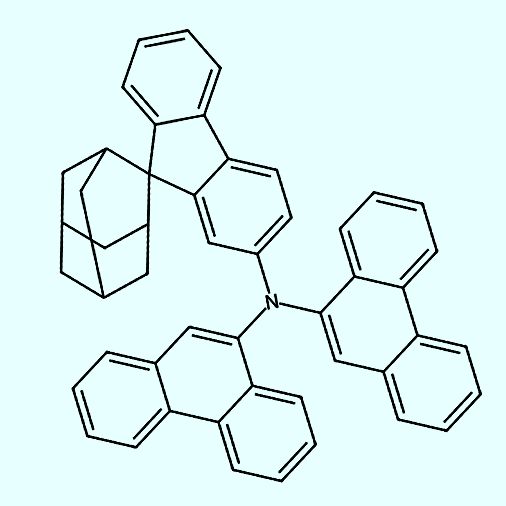 c1ccc2c(c1)-c1ccc(N(c3cc4ccccc4c4ccccc34)c3cc4ccccc4c4ccccc34)cc1C21C2CC3CC(C2)CC1C3